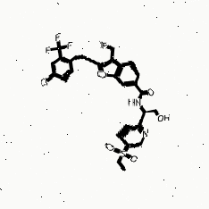 CCS(=O)(=O)c1ccc([C@H](CO)NC(=O)c2ccc3c(CF)c(Cc4ccc(Cl)cc4C(F)(F)F)oc3c2)nc1